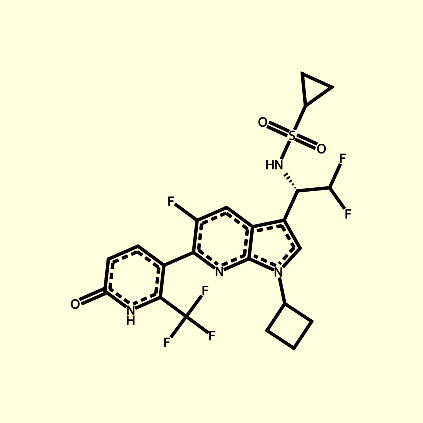 O=c1ccc(-c2nc3c(cc2F)c([C@H](NS(=O)(=O)C2CC2)C(F)F)cn3C2CCC2)c(C(F)(F)F)[nH]1